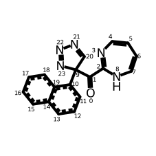 O=C(C1=NC=CC=CN1)C1(c2cccc3ccccc23)C=NN=N1